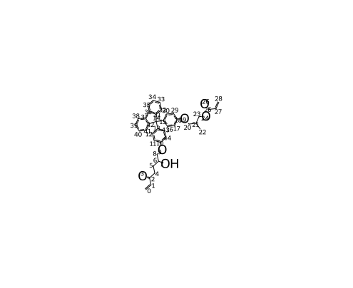 C=CC(=O)CCC(O)COc1ccc(C2(c3ccc(OCC(C)COC(=O)C=C)cc3)c3ccccc3-c3ccccc32)cc1